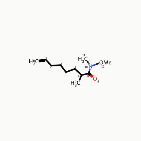 C=CCCCCC(C)C(=O)N(C)OC